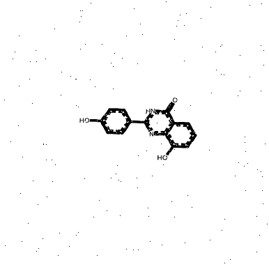 O=c1[nH]c(-c2ccc(O)cc2)nc2c(O)cccc12